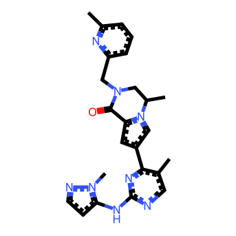 Cc1cccc(CN2CC(C)n3cc(-c4nc(Nc5ccnn5C)ncc4C)cc3C2=O)n1